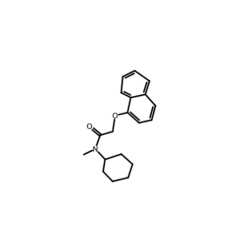 CN(C(=O)COc1cccc2ccccc12)C1CCCCC1